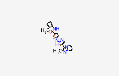 Cc1ccccc1NC(=O)c1ccc(Nc2ncc(-c3c(C)nc4ccccn34)s2)s1